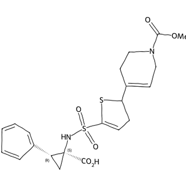 COC(=O)N1CC=C(C2CC=C(S(=O)(=O)N[C@@]3(C(=O)O)C[C@@H]3c3ccccc3)S2)CC1